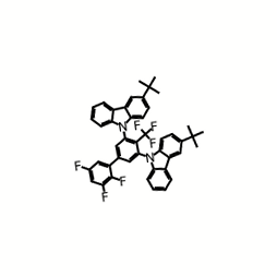 CC(C)(C)c1ccc2c(c1)c1ccccc1n2-c1cc(-c2cc(F)cc(F)c2F)cc(-n2c3ccccc3c3cc(C(C)(C)C)ccc32)c1C(F)(F)F